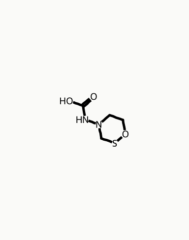 O=C(O)NN1CCOSC1